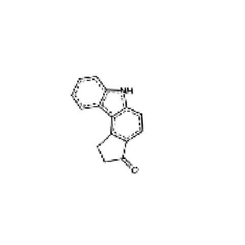 O=C1CCc2c1ccc1[nH]c3ccccc3c21